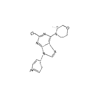 C[C@@H]1COCCN1c1nc(Cl)nc2c1ncn2-c1ccncc1